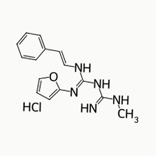 CNC(=N)NC(=Nc1ccco1)NC=Cc1ccccc1.Cl